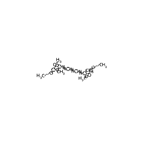 CCCCCOc1ccc(C(=O)c2c(C)cc(N=Nc3ccc(N=Nc4ccc(N=Nc5cc(C)c(C(=O)c6ccc(OCCCCC)cc6)c(OC)c5)cc4)cc3)cc2OC)cc1